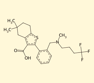 CN(CCCC(F)(F)F)Cc1ccccc1-c1sc2c(c1C(=O)O)CC(C)(C)CC2